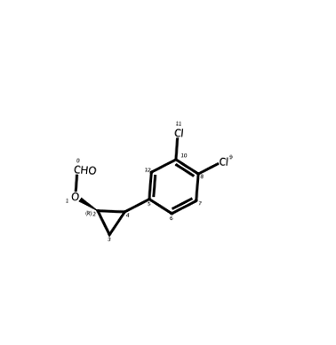 O=CO[C@@H]1CC1c1ccc(Cl)c(Cl)c1